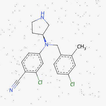 Cc1cc(Cl)ccc1CN(c1ccc(C#N)c(Cl)c1)[C@H]1CCNC1